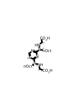 CCCCCCCCN(NCC(=O)O)c1ncnc(N(CCCCCCCC)NCC(=O)O)n1